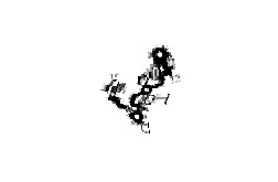 C[N+]1=C(C=C2C(=O)C(/C=C3/N(CCC[N+](C)(C)C)c4ccc(Cl)cc4C3(C)C)=C2O)C(C)(C)c2ccccc21